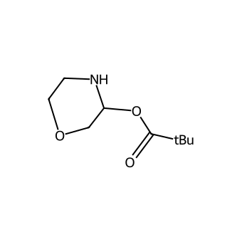 CC(C)(C)C(=O)OC1COCCN1